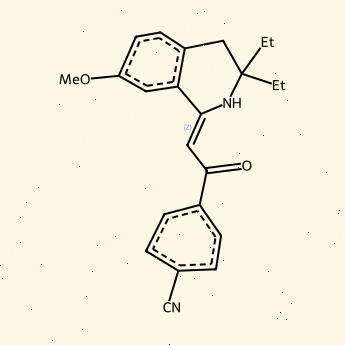 CCC1(CC)Cc2ccc(OC)cc2/C(=C/C(=O)c2ccc(C#N)cc2)N1